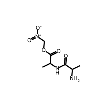 CC(N)C(=O)NC(C)C(=O)OC[N+](=O)[O-]